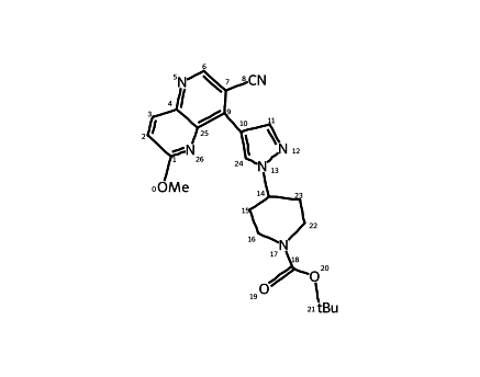 COc1ccc2ncc(C#N)c(-c3cnn(C4CCN(C(=O)OC(C)(C)C)CC4)c3)c2n1